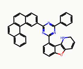 C1=Cc2oc3cccc(-c4nc(-c5ccccc5)nc(-c5ccc6ccc7ccc8ccccc8c7c6c5)n4)c3c2NC1